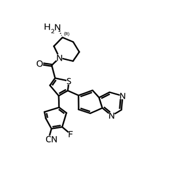 N#Cc1ccc(-c2cc(C(=O)N3CCC[C@@H](N)C3)sc2-c2ccc3ncncc3c2)cc1F